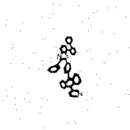 c1ccc(-c2ccccc2-c2cccc3nc(-c4ccccc4)c(-c4ccc(-c5c6ccccc6c(-c6cccnc6)c6ccccc56)cc4)nc23)cc1